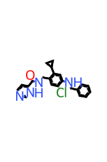 O=C(NCc1cc(Cl)c(NCc2ccccc2)cc1C1CC1)c1ccncn1